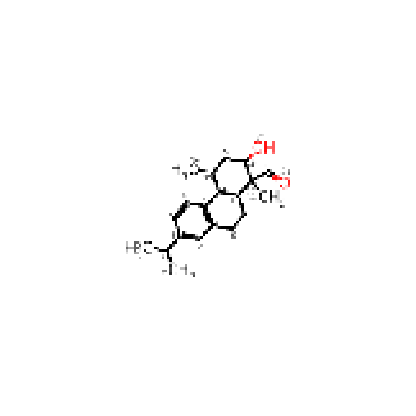 CC(C)c1ccc2c(c1)CCC1C2[C@@H](C)CC(O)C1(C)C=O